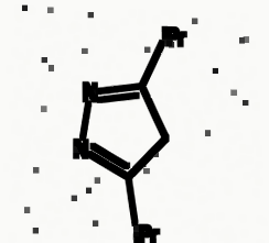 CC(C)C1=NN=C(C(C)C)C1